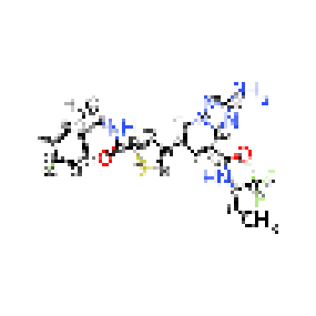 CC[C@@H](NC(=O)c1cc(-c2csc(C(=O)N[C@@H](C)c3ccc(F)cc3)c2)cn2nc(N)nc12)C(F)(F)F